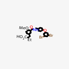 CC[C@@H](Cc1ccc(OC)c(C(=O)NCc2ccc(Oc3cc(Br)cc(Br)c3)cc2)c1)C(=O)O